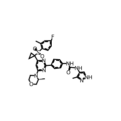 Cc1cc(F)ccc1S(=O)(=O)C1(c2cc(N3CCOC[C@@H]3C)nc(-c3ccc(NC(=O)Nc4c[nH]nc4C)cc3)n2)CC1